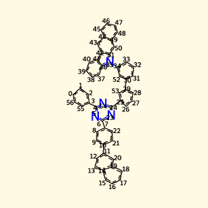 c1ccc(-c2nc(-c3ccc(-c4ccc5ccccc5c4)cc3)nc(-c3cccc(-c4cccc(-n5c6ccccc6c6cc7ccccc7cc65)c4)c3)n2)cc1